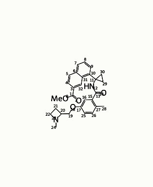 COC(=O)c1ccc2cccc(C3(NC(=O)c4cc(OCC5CCN5C)ccc4C)CC3)c2c1